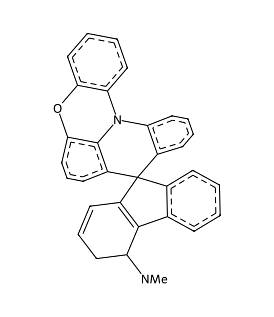 CNC1CC=CC2=C1c1ccccc1C21c2ccccc2N2c3ccccc3Oc3cccc1c32